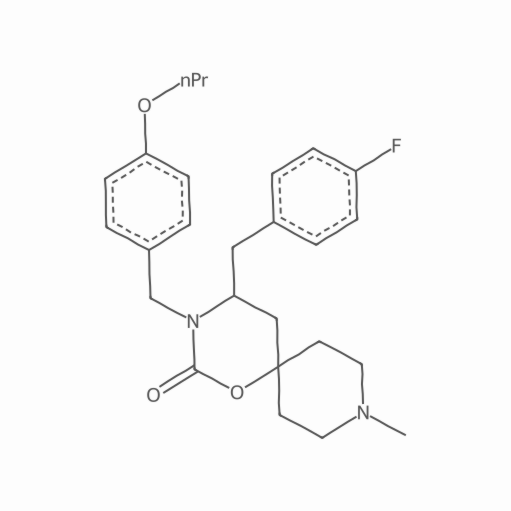 CCCOc1ccc(CN2C(=O)OC3(CCN(C)CC3)CC2Cc2ccc(F)cc2)cc1